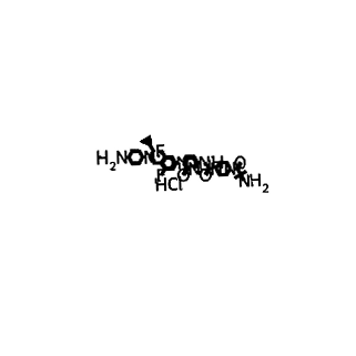 CC(C)(N)C(=O)N1CCN(C(=O)Nc2ccn(-c3cc(F)c(CN(CC4CC4)[C@H]4CC[C@H](N)CC4)c(F)c3)c(=O)n2)CC1.Cl